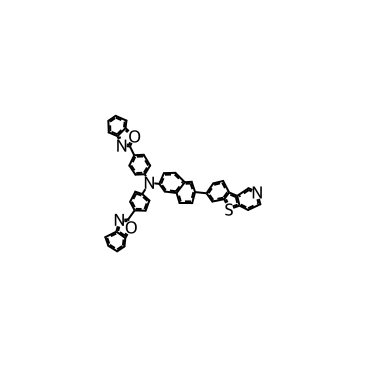 c1ccc2oc(-c3ccc(N(c4ccc(-c5nc6ccccc6o5)cc4)c4ccc5cc(-c6ccc7c(c6)sc6ccncc67)ccc5c4)cc3)nc2c1